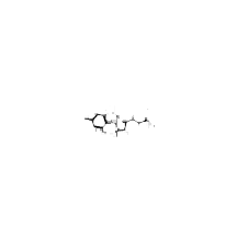 NC(=O)CCC1=NN(c2c(Cl)cc(Cl)cc2Cl)C(=O)C1